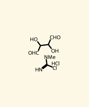 CNC(=N)Cl.Cl.O=CC(O)C(O)C=O